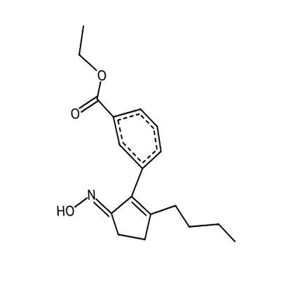 CCCCC1=C(c2cccc(C(=O)OCC)c2)C(=NO)CC1